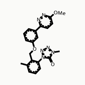 COc1ccc(-c2cccc(OCc3c(C)cccc3-n3nnn(C)c3=O)c2)nn1